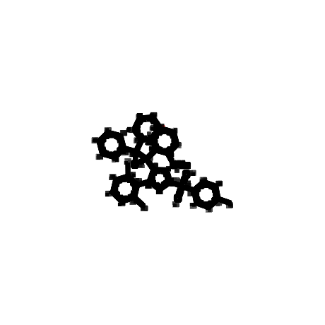 COc1ccccc1C1(c2cn(S(=O)(=O)c3ccc(C)cc3)cc2-c2c(C)cccc2C)OC1(c1ccccc1)c1ccccc1